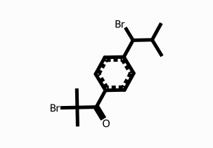 CC(C)C(Br)c1ccc(C(=O)C(C)(C)Br)cc1